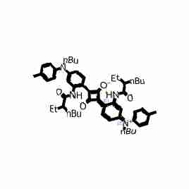 CCCCC(CC)C(=O)NC1=CC(=[N+](/CCCC)c2ccc(C)cc2)/C=CC/1=C1\C(=O)C(c2ccc(N(CCCC)c3ccc(C)cc3)cc2NC(=O)C(CC)CCCC)=C1[O-]